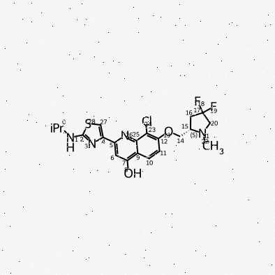 CC(C)Nc1nc(-c2cc(O)c3ccc(OC[C@@H]4CC(F)(F)CN4C)c(Cl)c3n2)cs1